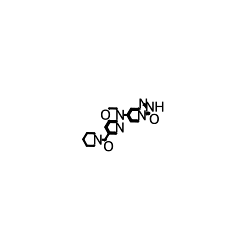 O=C(c1cnc2c(c1)OCCN2c1ccn2c(=O)[nH]nc2c1)N1CCCCC1